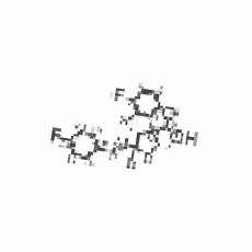 Cc1c(F)cccc1[C@]1(C(=O)O)CC[C@](C)(OCc2ccc(F)cc2)C1